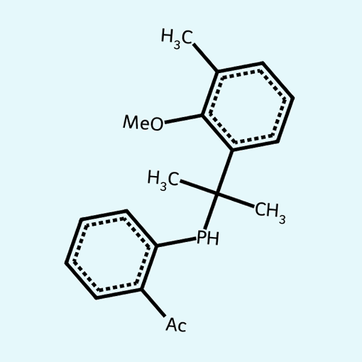 COc1c(C)cccc1C(C)(C)Pc1ccccc1C(C)=O